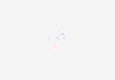 Cn1c(CCCS(=O)(=O)O)nc2ccc(Br)cc21